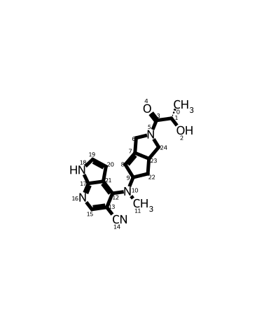 C[C@H](O)C(=O)N1CC2=CC(N(C)c3c(C#N)cnc4[nH]ccc34)CC2C1